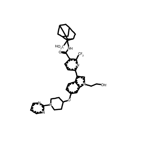 O=C(NC1(C(=O)O)C2CC3CC(C2)CC1C3)c1ccc(-c2cn(CCO)c3cc(OC4CCN(c5ncccn5)CC4)ccc23)nc1C(F)(F)F